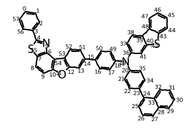 c1ccc(-c2nc3c(ccc4oc5cc(-c6ccc(N(c7ccc(-c8cccc9ccccc89)cc7)c7ccc8c(c7)sc7ccccc78)cc6)ccc5c43)s2)cc1